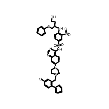 O=[N+]([O-])c1cc(S(=O)(=O)Nc2ncnc3cc(N4CCN(Cc5cc(Cl)ccc5-c5ccccc5)CC4)ccc23)ccc1NC(CCO)CSc1ccccc1